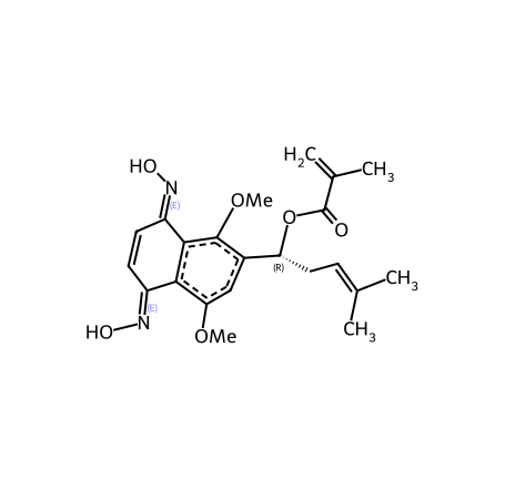 C=C(C)C(=O)O[C@H](CC=C(C)C)c1cc(OC)c2c(c1OC)/C(=N/O)C=C/C2=N\O